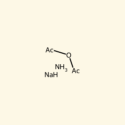 CC(=O)OC(C)=O.N.[NaH]